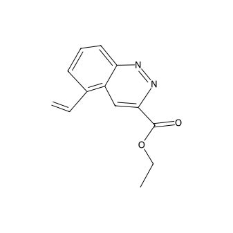 C=Cc1cccc2nnc(C(=O)OCC)cc12